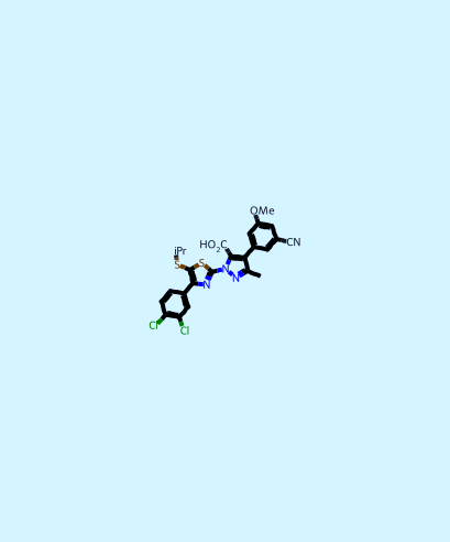 COc1cc(C#N)cc(-c2c(C)nn(-c3nc(-c4ccc(Cl)c(Cl)c4)c(SC(C)C)s3)c2C(=O)O)c1